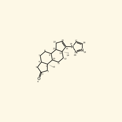 C[C@]12CC(=O)CC1CCC1C2CC[C@]2(C)C(n3ccnn3)=CCC12